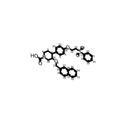 O=C(O)N1CCC(c2ccc(OCCS(=O)(=O)c3ccccc3)cc2)C(OCc2ccc3ccccc3c2)C1